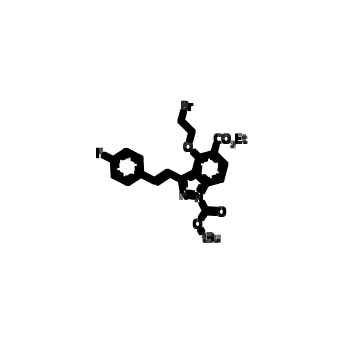 CCOC(=O)c1ccc2c(c(/C=C/c3ccc(F)cc3)nn2C(=O)OC(C)(C)C)c1OCCBr